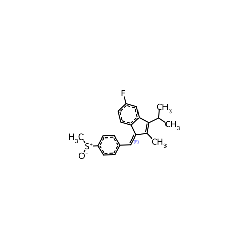 CC1=C(C(C)C)c2cc(F)ccc2/C1=C\c1ccc([S+](C)[O-])cc1